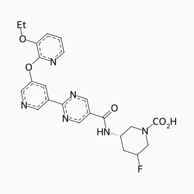 CCOc1cccnc1Oc1cncc(-c2ncc(C(=O)N[C@H]3CC(F)CN(C(=O)O)C3)cn2)c1